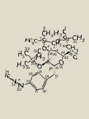 C[Si](C)(C)O[C@H]1[C@H](O[Si](C)(C)C)[C@@H](C=O)O[C@H](Cc2ccc(N=[N+]=[N-])cc2)[C@H]1O[Si](C)(C)C